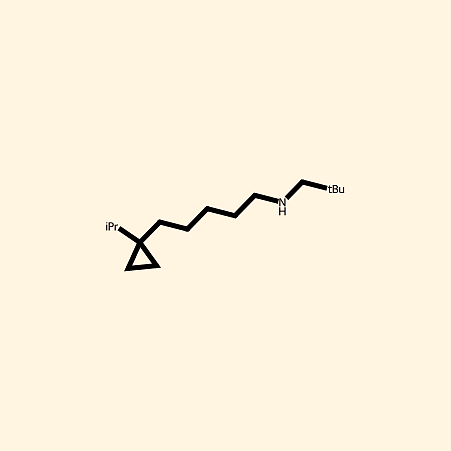 CC(C)C1(CCCCCNCC(C)(C)C)CC1